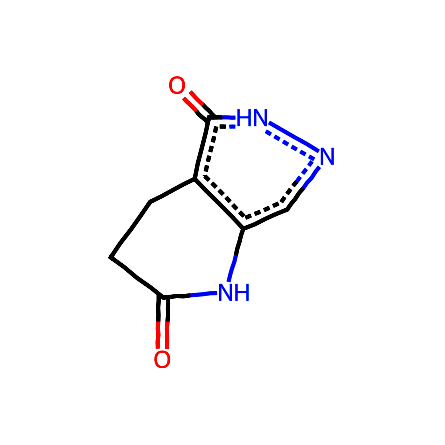 O=C1CCc2c(cn[nH]c2=O)N1